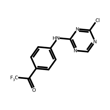 O=C(c1ccc(Nc2ncnc(Cl)n2)cc1)C(F)(F)F